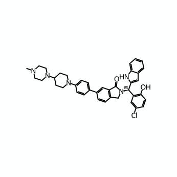 CN1CCN(C2CCN(c3ccc(-c4ccc5c(c4)C(=O)N([C@@H](c4cc6ccccc6[nH]4)c4cc(Cl)ccc4O)C5)cc3)CC2)CC1